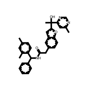 Cc1ccc(C(NC(=O)Cc2ccc3oc(C(C)(O)c4cc(C)ncn4)cc3c2)c2ccccc2)c(C)c1